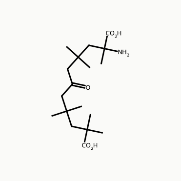 CC(C)(CC(=O)CC(C)(C)CC(C)(N)C(=O)O)CC(C)(C)C(=O)O